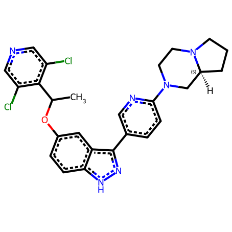 CC(Oc1ccc2[nH]nc(-c3ccc(N4CCN5CCC[C@H]5C4)nc3)c2c1)c1c(Cl)cncc1Cl